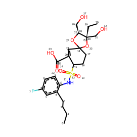 CCCCc1cc(F)ccc1NS(=O)(=O)C1CCC2(C=C1C(=O)O)O[C@@H](CO)[C@](CC)(CO)O2